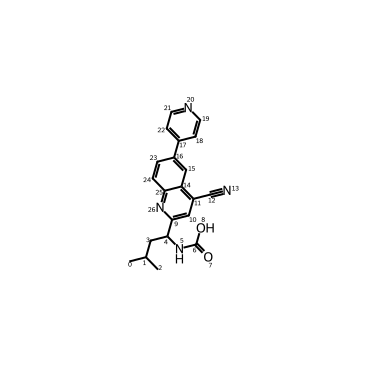 CC(C)CC(NC(=O)O)c1cc(C#N)c2cc(-c3ccncc3)ccc2n1